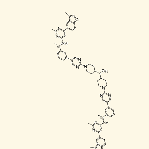 Cc1nc(N[C@@H](C)c2cccc(-c3cnc(N4CCC(C(O)C5CCN(c6ncc(-c7cccc([C@H](C)Nc8cc(-c9ccc%10occ(C)c%10c9)nc(C)n8)c7)cn6)CC5)CC4)nc3)c2)cc(-c2ccc3occ(C)c3c2)n1